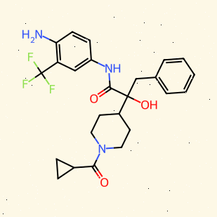 Nc1ccc(NC(=O)C(O)(Cc2ccccc2)C2CCN(C(=O)C3CC3)CC2)cc1C(F)(F)F